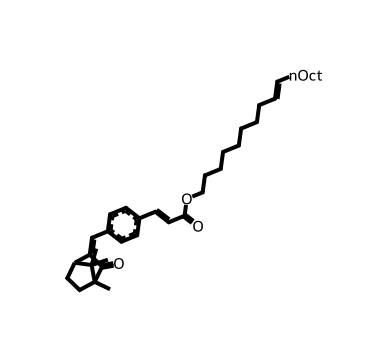 CCCCCCCCC=CCCCCCCCCOC(=O)C=Cc1ccc(C=C2C(=O)C3(C)CCC2C3(C)C)cc1